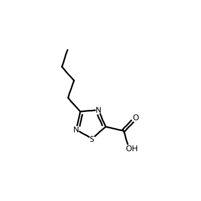 CCCCc1nsc(C(=O)O)n1